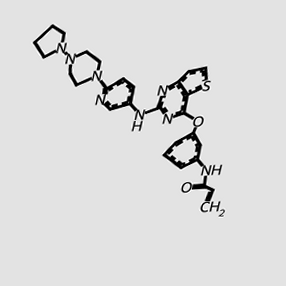 C=CC(=O)Nc1cccc(Oc2nc(Nc3ccc(N4CCN(N5CCCC5)CC4)nc3)nc3ccsc23)c1